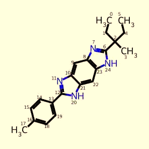 CCC(C)(CC)c1nc2cc3nc(-c4ccc(C)cc4)[nH]c3cc2[nH]1